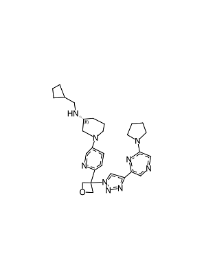 c1cc(C2(n3cc(-c4cncc(N5CCCC5)n4)nn3)COC2)ncc1N1CCC[C@@H](NCC2CCC2)C1